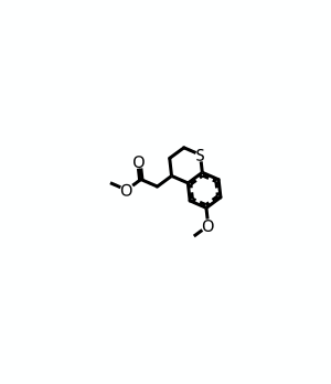 COC(=O)CC1CCSc2ccc(OC)cc21